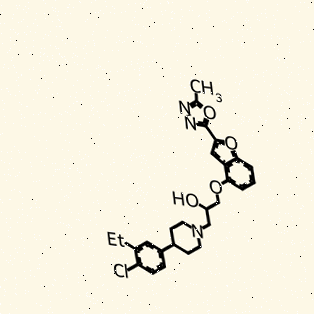 CCc1cc(C2CCN(CC(O)COc3cccc4oc(-c5nnc(C)o5)cc34)CC2)ccc1Cl